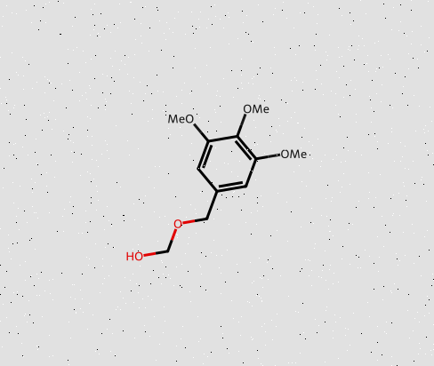 COc1cc(COCO)cc(OC)c1OC